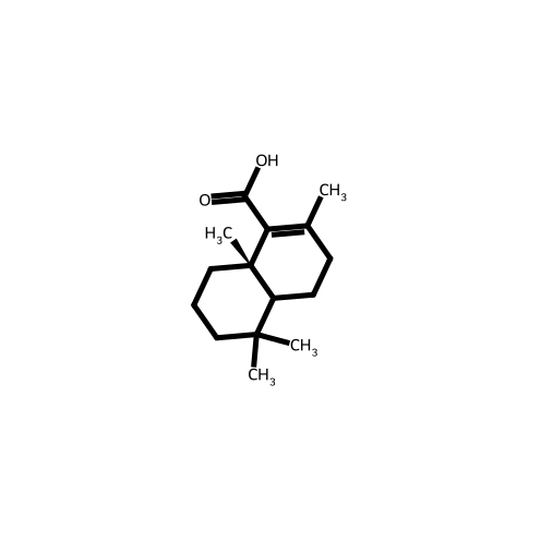 CC1=C(C(=O)O)[C@@]2(C)CCCC(C)(C)C2CC1